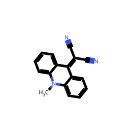 CN1c2ccccc2C(=C(C#N)C#N)c2ccccc21